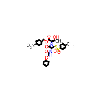 C/C(O)=C(/C(=O)OCc1ccc([N+](=O)[O-])cc1)N1C(=O)[C@@H](NC(=O)COc2ccccc2)[C@H]1SS(=O)(=O)c1ccc(C)cc1